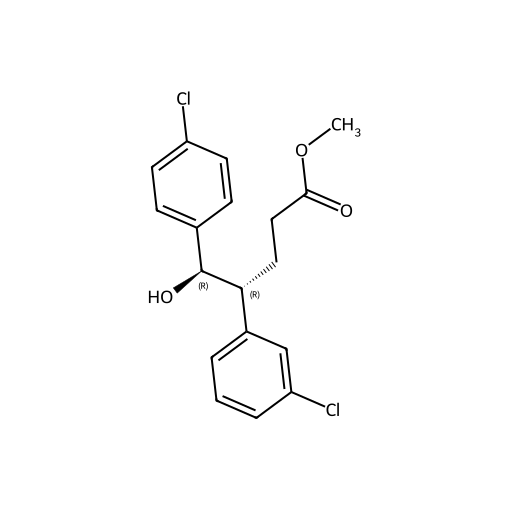 COC(=O)CC[C@H](c1cccc(Cl)c1)[C@@H](O)c1ccc(Cl)cc1